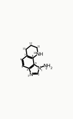 Nn1cnc2ccc3c(c21)NCCC3